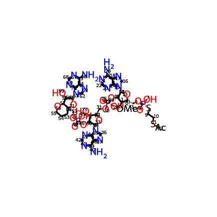 COC1[C@@H](COP(=O)(O)SCCSC(C)=O)O[C@@H](n2cnc3c(N)ncnc32)[C@H]1OP(=O)(O)OC[C@H]1O[C@@H](n2cnc3c(N)ncnc32)[C@@H](OP(=O)(O)OC[C@]23CCCOC2[C@H](O)[C@H](n2cnc4c(N)ncnc42)O3)C1O